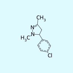 CC1=NN(C)C(c2ccc(Cl)cc2)C1